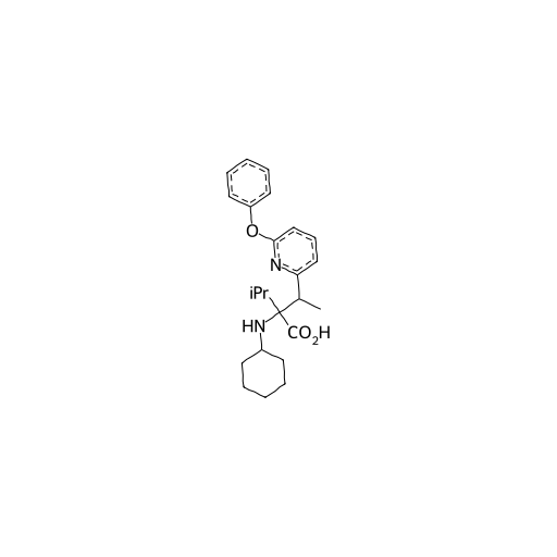 CC(C)C(NC1CCCCC1)(C(=O)O)C(C)c1cccc(Oc2ccccc2)n1